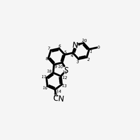 Cc1ccc(-c2cccc3c2sc2cc(C#N)ccc23)nc1